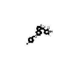 COc1ccc(CSc2ccc3c(ccc4onc(C5CCC(=O)NC5=O)c43)c2)cc1